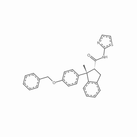 C[C@]1(c2ccc(OCc3ccccc3)cc2)c2ccccc2C[C@H]1C(=O)Nc1nccs1